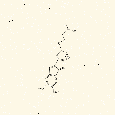 COc1cc2c(cc1OC)C1=Nc3ccc(OCCN(C)C)cc3C1=C2